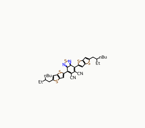 CCCCC(CC)Cc1cc2sc(-c3c(C#N)c(C#N)c(-c4cc5sc(CC(CC)CCCC)cc5s4)c4nsnc34)cc2s1